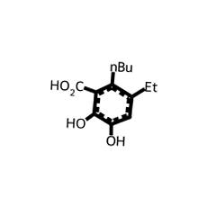 CCCCc1c(CC)cc(O)c(O)c1C(=O)O